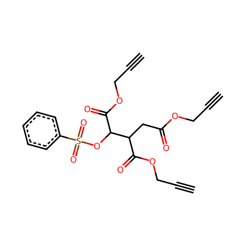 C#CCOC(=O)CC(C(=O)OCC#C)C(OS(=O)(=O)c1ccccc1)C(=O)OCC#C